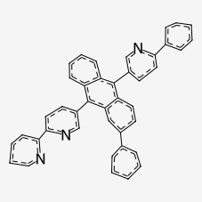 c1ccc(-c2ccc3c(-c4ccc(-c5ccccc5)nc4)c4ccccc4c(-c4ccc(-c5ccccn5)nc4)c3c2)cc1